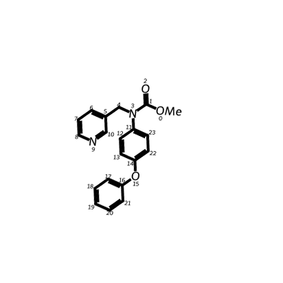 COC(=O)N(Cc1cccnc1)c1ccc(Oc2ccccc2)cc1